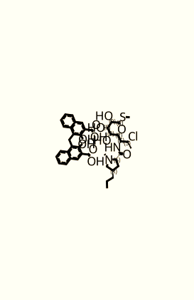 CCC[C@@H]1C[C@@H](C(=O)N[C@@H]([C@H]2O[C@H](SC)[C@H](O)[C@@H](O)[C@H]2O)[C@H](C)Cl)N(C)C1.O=C(O)c1cc2ccccc2c(Cc2c(O)c(C(=O)O)cc3ccccc23)c1O